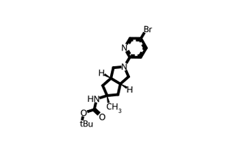 CC(C)(C)OC(=O)N[C@@]1(C)C[C@H]2CN(c3ccc(Br)cn3)C[C@H]2C1